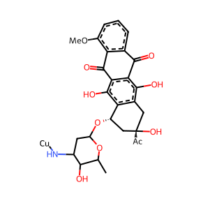 COc1cccc2c1C(=O)c1c(O)c3c(c(O)c1C2=O)C[C@@](O)(C(C)=O)C[C@@H]3OC1CC([NH][Cu])C(O)C(C)O1